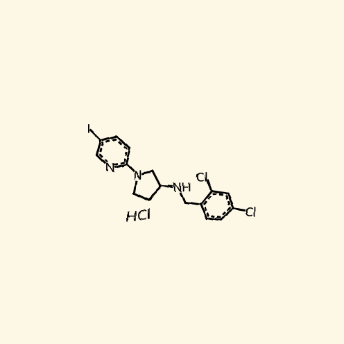 Cl.Clc1ccc(CN[C@H]2CCN(c3ccc(I)cn3)C2)c(Cl)c1